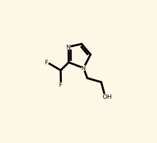 OCCn1ccnc1C(F)F